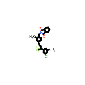 Cc1cc(Cl)cc(C(/C=C/c2ccc(CN3C(=O)c4ccccc4C3=O)c(C)c2)C(F)(F)F)c1